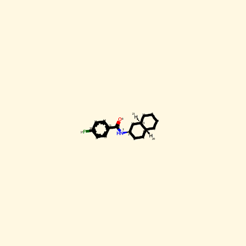 O=C(N[C@@H]1CC[C@H]2CCCC[C@@H]2C1)c1ccc(F)cc1